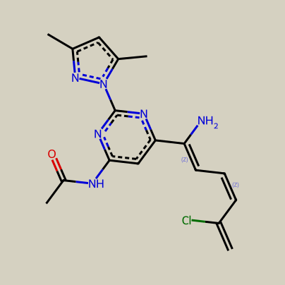 C=C(Cl)/C=C\C=C(/N)c1cc(NC(C)=O)nc(-n2nc(C)cc2C)n1